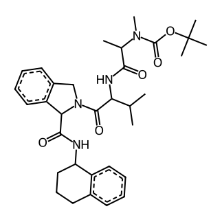 CC(C)C(NC(=O)C(C)N(C)C(=O)OC(C)(C)C)C(=O)N1Cc2ccccc2C1C(=O)NC1CCCc2ccccc21